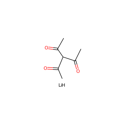 CC(=O)C(C(C)=O)C(C)=O.[LiH]